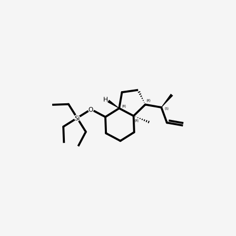 C=C[C@H](C)[C@H]1CC[C@H]2C(O[Si](CC)(CC)CC)CCC[C@]12C